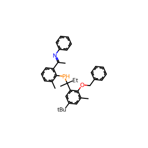 CCC(C)(Pc1c(C)cccc1/C(C)=N/c1ccccc1)c1cc(C(C)(C)C)cc(C)c1OCc1ccccc1